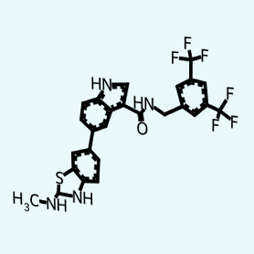 CNC1Nc2ccc(-c3ccc4[nH]cc(C(=O)NCc5cc(C(F)(F)F)cc(C(F)(F)F)c5)c4c3)cc2S1